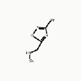 CC(C)c1noc(CNC(C)(C)C)n1